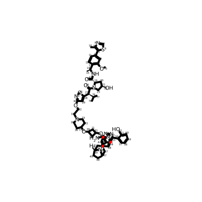 COc1cc(-c2scnc2C)ccc1[C@H](C)NC(=O)[C@@H]1C[C@@H](O)CN1C(=O)[C@H](c1cc(OCCN2CCC(OC3CC(Oc4cc(N5C6CC[C@@H]5CN(c5cc(-c7ccccc7O)nnc5N)C6)ccn4)C3)CC2)no1)C(C)C